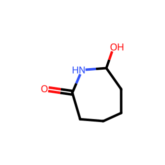 O=C1CCCCC(O)N1